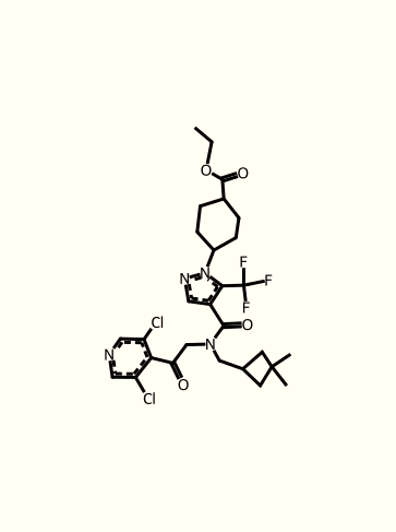 CCOC(=O)C1CCC(n2ncc(C(=O)N(CC(=O)c3c(Cl)cncc3Cl)CC3CC(C)(C)C3)c2C(F)(F)F)CC1